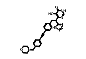 O=c1[nH]cnc(C(Cc2ccc(C#Cc3ccc(CN4CCOCC4)cc3)cc2)c2nnn[nH]2)c1O